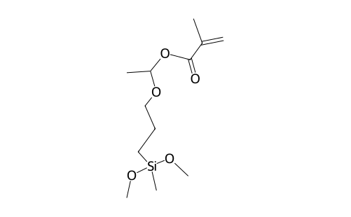 C=C(C)C(=O)OC(C)OCCC[Si](C)(OC)OC